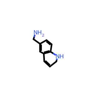 NCc1ccc2c(c1)C=CCN2